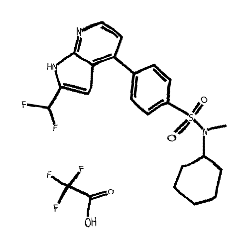 CN(C1CCCCC1)S(=O)(=O)c1ccc(-c2ccnc3[nH]c(C(F)F)cc23)cc1.O=C(O)C(F)(F)F